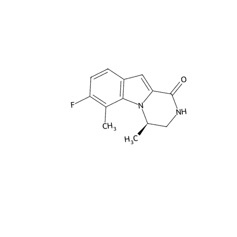 Cc1c(F)ccc2cc3n(c12)[C@H](C)CNC3=O